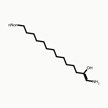 CCCCCCCCCCCCCCCCCCCCCC(O)=CN